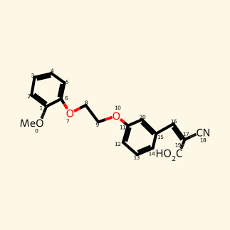 COc1ccccc1OCCOc1cccc(C=C(C#N)C(=O)O)c1